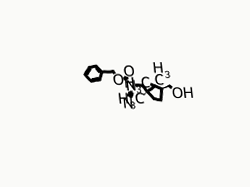 CC1(C)[C@@H](CO)CC[C@@]1(C)CN(C#N)C(=O)OCc1ccccc1